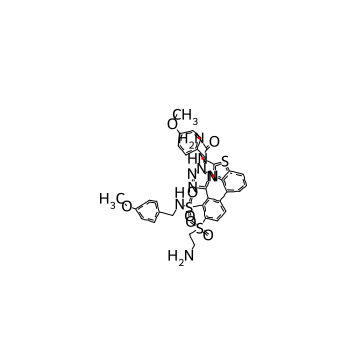 COc1ccc(CNS(=O)(=O)c2c(S(=O)(=O)CCN)ccc(-c3cccc4sc(NC(N)=O)nc34)c2-c2nnn(Cc3ccc(OC)cc3)n2)cc1